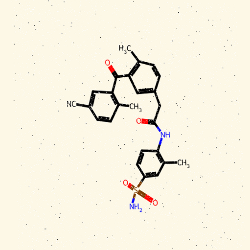 Cc1cc(S(N)(=O)=O)ccc1NC(=O)Cc1ccc(C)c(C(=O)c2cc(C#N)ccc2C)c1